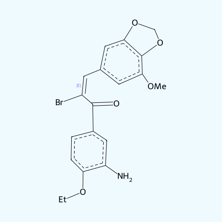 CCOc1ccc(C(=O)/C(Br)=C\c2cc(OC)c3c(c2)OCO3)cc1N